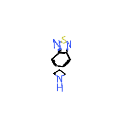 C1CNC1.c1ccc2nsnc2c1